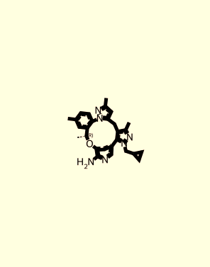 Cc1ccc2c(c1)[C@@H](C)Oc1cc(cnc1N)-c1c(c(C)nn1CC1CC1)Cc1cc(C)nn1-2